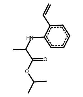 C=Cc1ccccc1NC(C)C(=O)OC(C)C